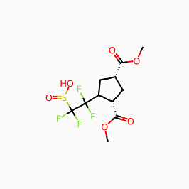 COC(=O)[C@H]1CC(C(F)(F)C(F)(F)S(=O)O)[C@@H](C(=O)OC)C1